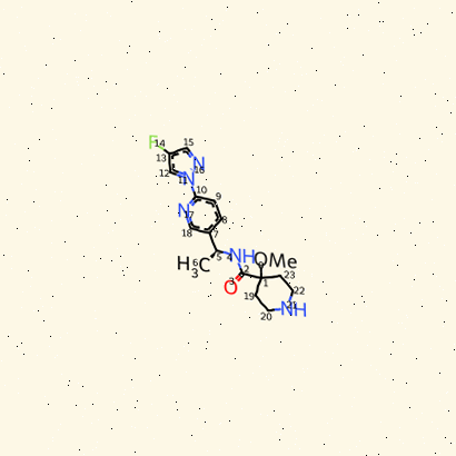 COC1(C(=O)N[C@@H](C)c2ccc(-n3cc(F)cn3)nc2)CCNCC1